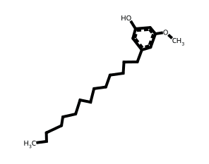 CCCCCCCCCCCCCCc1cc(O)cc(OC)c1